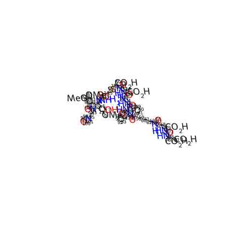 COc1cc2c(cc1O)/C(=N\NC(=O)OCCSSC[C@H](NC(=O)[C@H](CC(=O)O)NC(=O)[C@@H](N)CNC(=O)[C@H](Cc1ccccc1)NC(=O)[C@H](Cc1ccccc1)NC(=O)CCCCCCCNC(=O)CC[C@H](NC(=O)N[C@@H](CCC(=O)O)C(=O)O)C(=O)O)C(=O)O)C1c3cc(OC)c(OC)cc3C(=O)N(CCCN3CCOCC3)C21